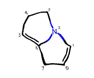 C1=CN2CCC=C2C1